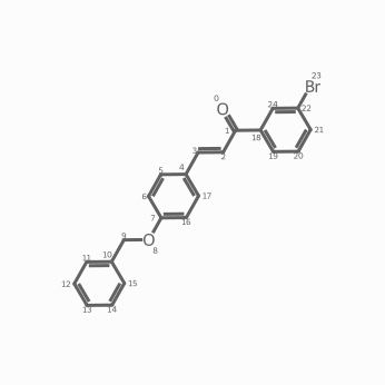 O=C(C=Cc1ccc(OCc2ccccc2)cc1)c1cccc(Br)c1